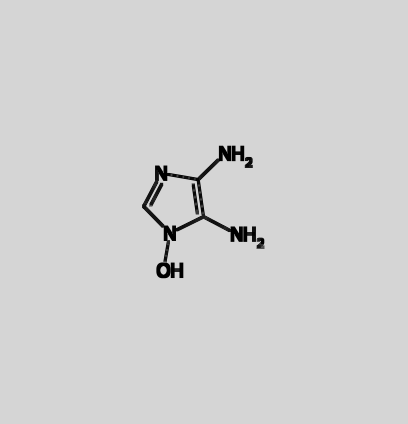 Nc1ncn(O)c1N